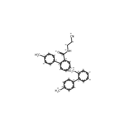 Cc1ccc(-c2ccccc2C(=O)NCCC#N)cc1.Cc1ccc(-c2ccccc2C(=O)O)cc1